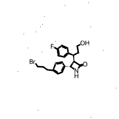 O=C1N[C@H](c2ccc(CCCBr)cc2)[C@H]1C(CCO)c1ccc(F)cc1